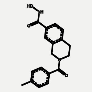 Cc1ccc(C(=O)N2CCc3ccc(C(=O)NO)cc3C2)cc1